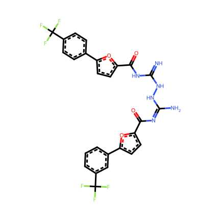 N=C(NNC(N)=NC(=O)c1ccc(-c2cccc(C(F)(F)F)c2)o1)NC(=O)c1ccc(-c2ccc(C(F)(F)F)cc2)o1